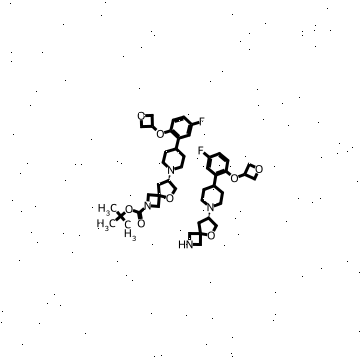 CC(C)(C)OC(=O)N1CC2(C[C@H](N3CCC(c4cc(F)ccc4OC4COC4)CC3)CO2)C1.Fc1ccc(OC2COC2)c(C2CCN([C@@H]3COC4(CNC4)C3)CC2)c1